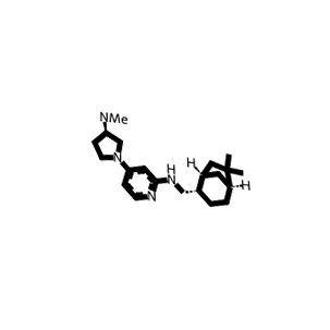 CN[C@@H]1CCN(c2ccnc(NC[C@H]3CC[C@H]4C[C@@H]3CC4(C)C)c2)C1